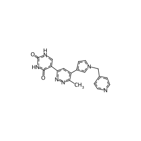 Cc1nnc(-c2c[nH]c(=O)[nH]c2=O)cc1-c1ccn(Cc2ccncc2)c1